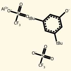 CC(C)(C)c1cc([O-])cc(C(C)(C)C)c1.O=S(=O)([O-])C(F)(F)F.O=S(=O)([O-])C(F)(F)F.[Al+3]